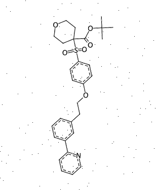 CC(C)(C)OC(=O)C1(S(=O)(=O)c2ccc(OCCc3cccc(-c4ccccn4)c3)cc2)CCOCC1